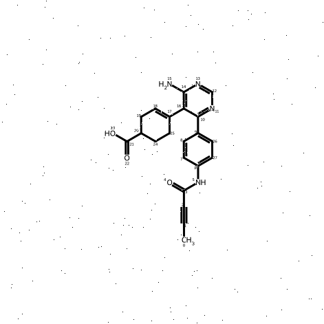 CC#CC(=O)Nc1ccc(-c2ncnc(N)c2C2=CCC(C(=O)O)CC2)cc1